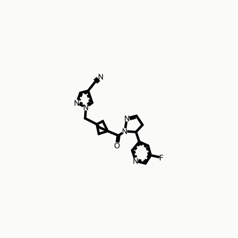 N#Cc1cnn(CC23CC(C(=O)N4N=CCC4c4cncc(F)c4)(C2)C3)c1